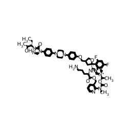 CC[C@@H]([C@H](C)O)n1ncn(-c2ccc(N3CCN(c4ccc(OCC5CO[C@@](Cn6c[n+](C(C)OC(=O)N(C)c7ncccc7COC(=O)[C@@H](N)CCCN)cn6)(c6ccc(F)cc6F)C5)cc4)CC3)cc2)c1=O